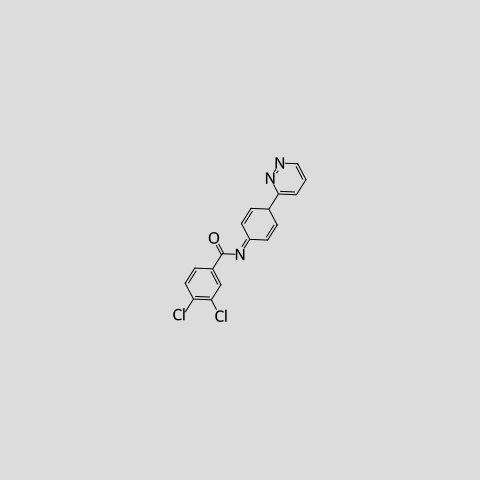 O=C(N=C1C=CC(c2cccnn2)C=C1)c1ccc(Cl)c(Cl)c1